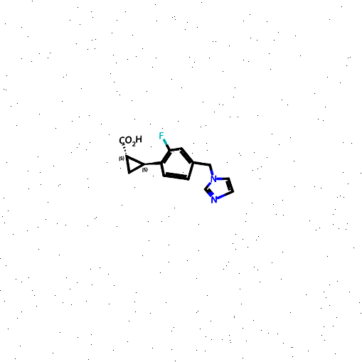 O=C(O)[C@H]1C[C@@H]1c1ccc(Cn2ccnc2)cc1F